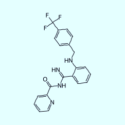 N=C(NC(=O)c1ccccn1)c1ccccc1NCc1ccc(C(F)(F)F)cc1